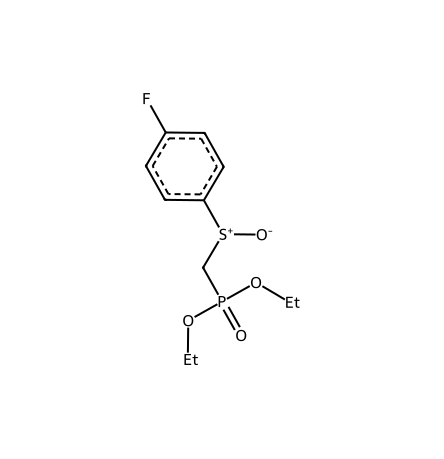 CCOP(=O)(C[S+]([O-])c1ccc(F)cc1)OCC